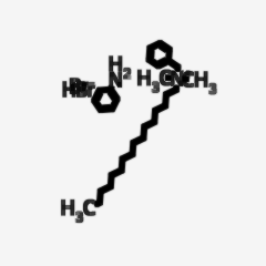 Br.CCCCCCCCCCCCCCCC[N+](C)(C)Cc1ccccc1.Nc1ccccc1.[Br-]